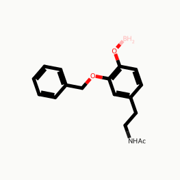 BOc1ccc(CCNC(C)=O)cc1OCc1ccccc1